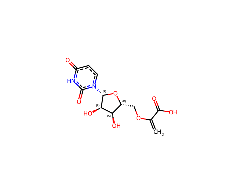 C=C(OC[C@H]1O[C@@H](n2ccc(=O)[nH]c2=O)[C@H](O)[C@@H]1O)C(=O)O